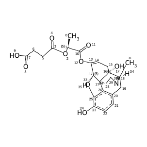 C[C@H](OC(=O)CCC(=O)O)C(=O)OC1=CC[C@@]2(O)[C@H]3Cc4ccc(O)c5c4[C@@]2(CCN3C)[C@H]1O5